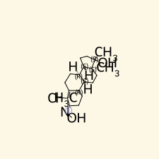 C[C@]12CC/C(=N\O)C(Cl)=C1CC[C@@H]1[C@@H]2CC[C@@]2(C)[C@H]1CC[C@]2(C)O